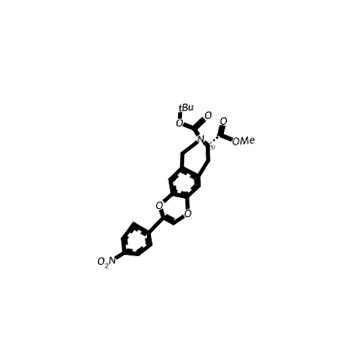 COC(=O)[C@@H]1Cc2cc3c(cc2CN1C(=O)OC(C)(C)C)OC(c1ccc([N+](=O)[O-])cc1)=CO3